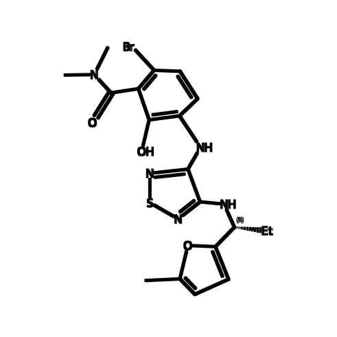 CC[C@@H](Nc1nsnc1Nc1ccc(Br)c(C(=O)N(C)C)c1O)c1ccc(C)o1